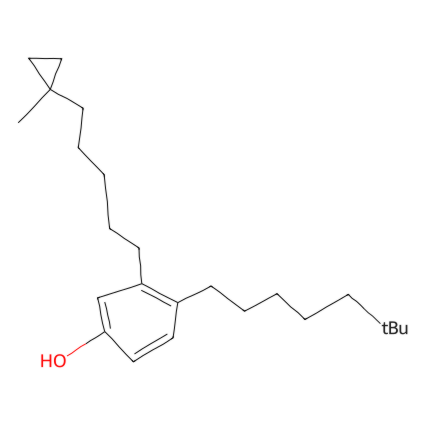 CC(C)(C)CCCCCc1ccc(O)cc1CCCCCC1(C)CC1